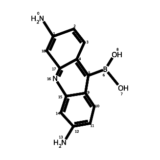 Nc1ccc2c(B(O)O)c3ccc(N)cc3nc2c1